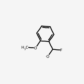 COc1ccccc1C([O])F